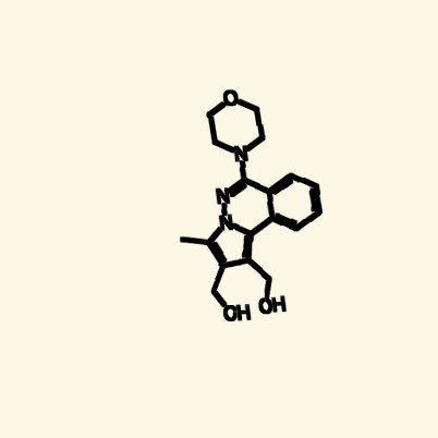 Cc1c(CO)c(CO)c2c3ccccc3c(N3CCOCC3)nn12